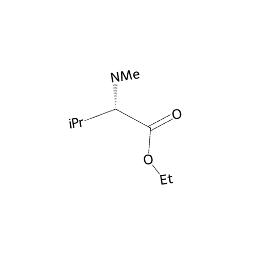 CCOC(=O)[C@@H](NC)C(C)C